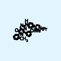 COc1cc(Nc2ncc3c(=O)n(-c4ccccc4C)nc(-c4ccccc4)c3n2)ccc1N1CCN(C(C)C)CC1